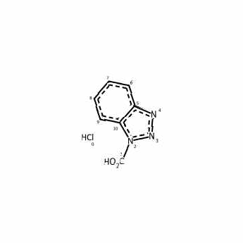 Cl.O=C(O)n1nnc2ccccc21